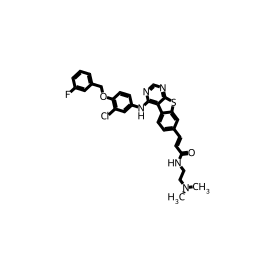 CN(C)CCNC(=O)C=Cc1ccc2c(c1)sc1ncnc(Nc3ccc(OCc4cccc(F)c4)c(Cl)c3)c12